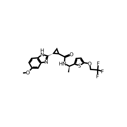 COc1ccc2[nH]c([C@@H]3CC3C(=O)N[C@H](C)c3ccc(OCC(F)(F)F)s3)nc2c1